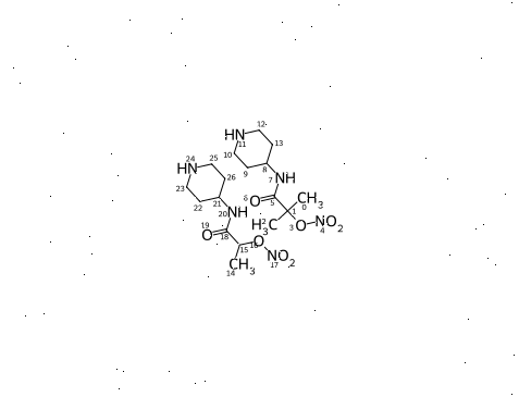 CC(C)(O[N+](=O)[O-])C(=O)NC1CCNCC1.CC(O[N+](=O)[O-])C(=O)NC1CCNCC1